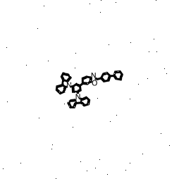 c1ccc(-c2ccc(-c3nc4ccc(-c5cc(-n6c7ccccc7c7ccccc76)cc(-n6c7ccccc7c7ccccc76)c5)cc4o3)cc2)cc1